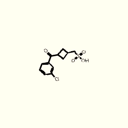 O=C(c1cccc(Cl)c1)C1CC(CS(=O)(=O)O)C1